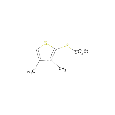 CCOC(=O)Sc1scc(C)c1C